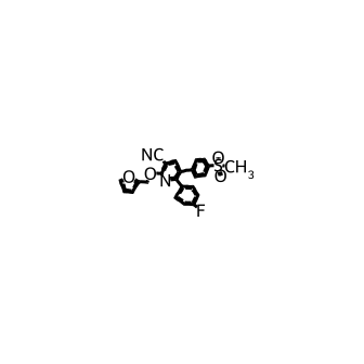 CS(=O)(=O)c1ccc(-c2cc(C#N)c(OCc3ccco3)nc2-c2ccc(F)cc2)cc1